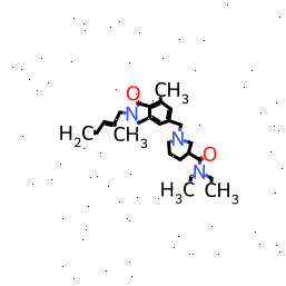 C=C/C=C(\C)CN1Cc2cc(CN3CCCC(C(=O)N(CC)CC)C3)cc(C)c2C1=O